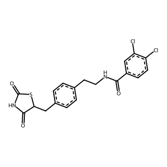 O=C1NC(=O)C(Cc2ccc(CCNC(=O)c3ccc(Cl)c(Cl)c3)cc2)S1